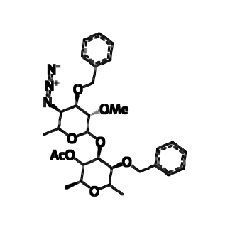 CO[C@@H]1C(O[C@@H]2C(OC(C)=O)[C@H](C)OC(C)[C@@H]2OCc2ccccc2)OC(C)[C@@H](N=[N+]=[N-])[C@H]1OCc1ccccc1